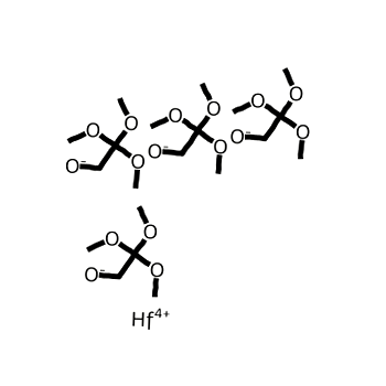 COC(C[O-])(OC)OC.COC(C[O-])(OC)OC.COC(C[O-])(OC)OC.COC(C[O-])(OC)OC.[Hf+4]